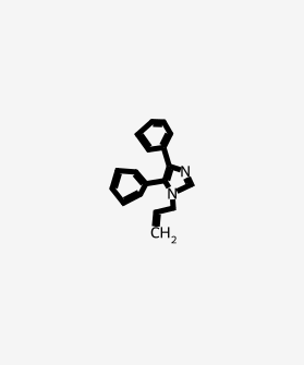 C=CCn1cnc(-c2ccccc2)c1-c1ccccc1